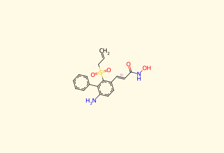 C=CCS(=O)(=O)c1c(/C=C/C(=O)NO)ccc(N)c1-c1ccccc1